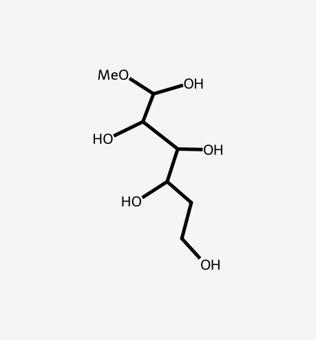 COC(O)C(O)C(O)C(O)CCO